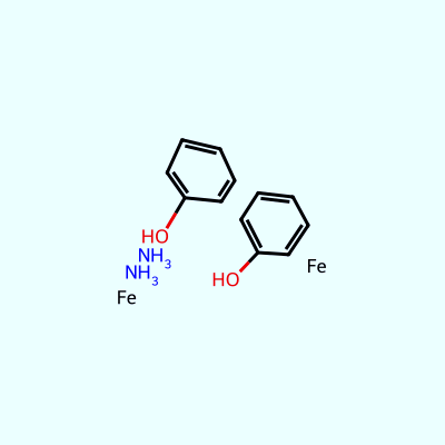 N.N.Oc1ccccc1.Oc1ccccc1.[Fe].[Fe]